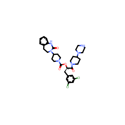 O=C(O[C@H](Cc1cc(Cl)cc(Cl)c1)C(=O)N1CCC(N2CCNCC2)CC1)N1CCC(N2CCc3ccccc3NC2=O)CC1